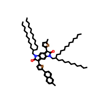 CCCCCCCCCCCCC(CCCCCCCCCC)CN1C(=O)C(c2ccc(C)s2)=c2cc3c(cc21)=C(c1ccc(-c2ccc4cc(C)ccc4c2)s1)C(=O)N3CC(CCCCCCCCCC)CCCCCCCCCCCC